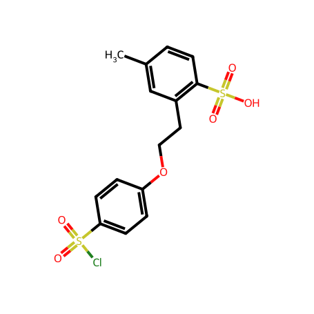 Cc1ccc(S(=O)(=O)O)c(CCOc2ccc(S(=O)(=O)Cl)cc2)c1